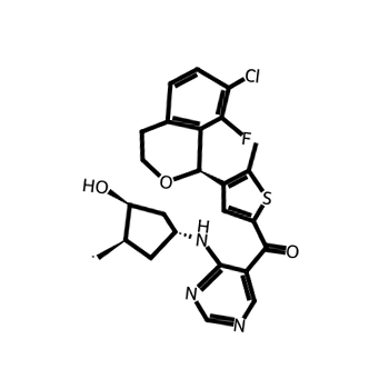 [CH2][C@@H]1C[C@@H](Nc2ncncc2C(=O)c2cc([C@H]3OCCc4ccc(Cl)c(F)c43)c(C)s2)C[C@@H]1O